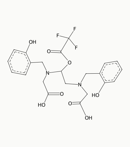 O=C(O)CN(Cc1ccccc1O)CC(OC(=O)C(F)(F)F)N(CC(=O)O)Cc1ccccc1O